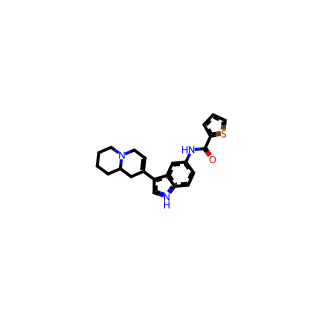 O=C(Nc1ccc2[nH]cc(C3=CCN4CCCCC4C3)c2c1)c1cccs1